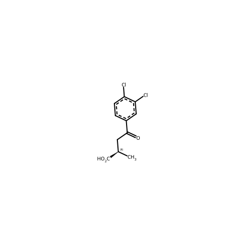 C[C@H](CC(=O)c1ccc(Cl)c(Cl)c1)C(=O)O